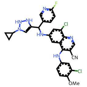 COc1ccc(Nc2c(C#N)cnc3c(Cl)cc(NC(C4=CN(C5CC5)NN4)c4ccc(F)nc4)cc23)cc1Cl